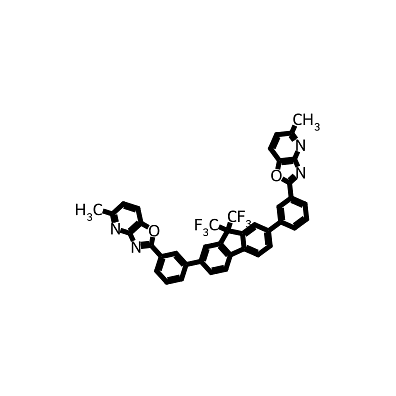 Cc1ccc2oc(-c3cccc(-c4ccc5c(c4)C(C(F)(F)F)(C(F)(F)F)c4cc(-c6cccc(-c7nc8nc(C)ccc8o7)c6)ccc4-5)c3)nc2n1